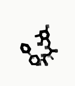 Cc1cc(Cl)cc(CNC(=O)[C@H](C)NC(=O)[C@H]2C[C@@H](c3ccccc3)CCN2)c1O